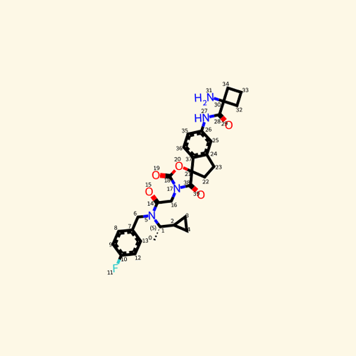 C[C@@H](C1CC1)N(Cc1ccc(F)cc1)C(=O)CN1C(=O)OC2(CCc3cc(NC(=O)C4(N)CCC4)ccc32)C1=O